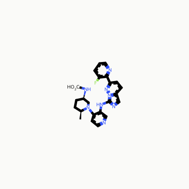 C[C@H]1CC[C@@H](NC(=O)O)CN1c1ccncc1Nc1ncc2ccc(-c3ncccc3F)nn12